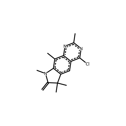 C=C1N(C)c2c(cc3c(Cl)nc(C)nc3c2C)C1(C)C